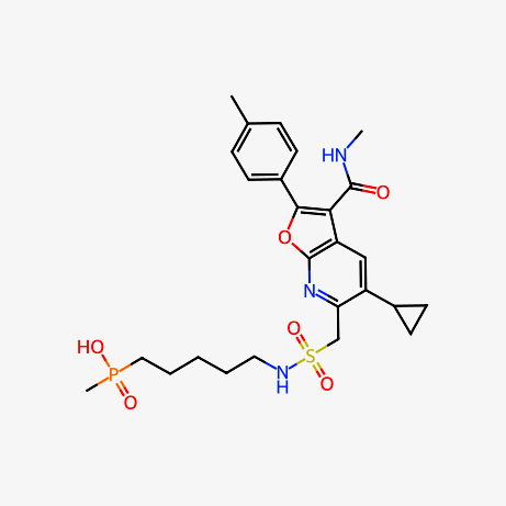 CNC(=O)c1c(-c2ccc(C)cc2)oc2nc(CS(=O)(=O)NCCCCCP(C)(=O)O)c(C3CC3)cc12